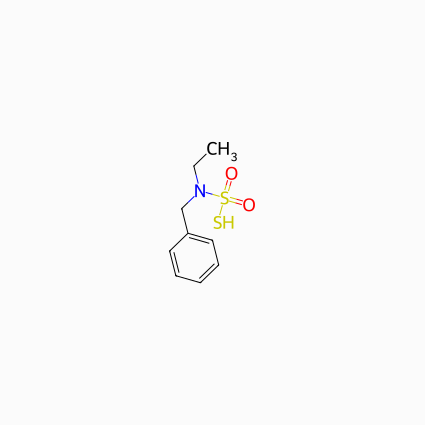 CCN(Cc1ccccc1)S(=O)(=O)S